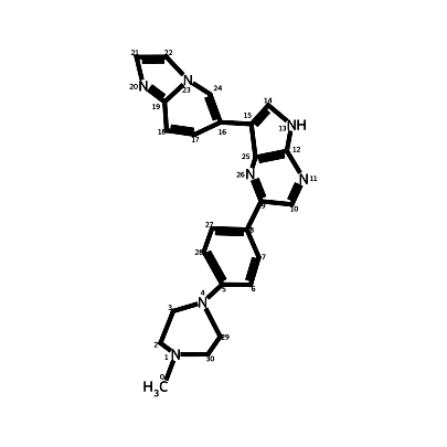 CN1CCN(c2ccc(-c3cnc4[nH]cc(-c5ccc6nccn6c5)c4n3)cc2)CC1